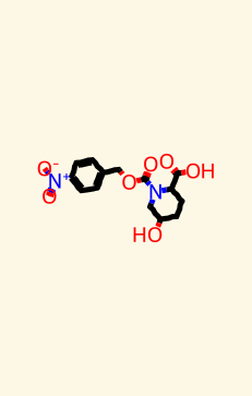 O=C(O)C1CCC(O)CN1C(=O)OCc1ccc([N+](=O)[O-])cc1